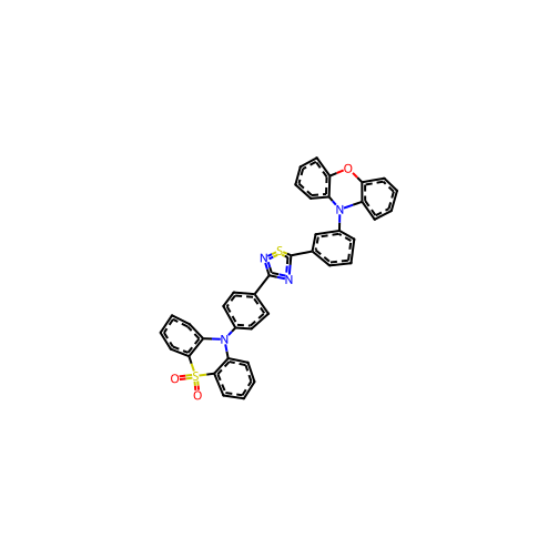 O=S1(=O)c2ccccc2N(c2ccc(-c3nsc(-c4cccc(N5c6ccccc6Oc6ccccc65)c4)n3)cc2)c2ccccc21